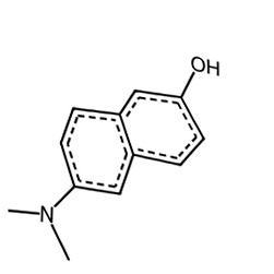 CN(C)c1ccc2cc(O)ccc2c1